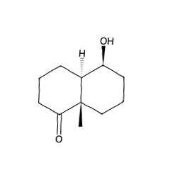 C[C@]12CCC[C@H](O)[C@@H]1CCCC2=O